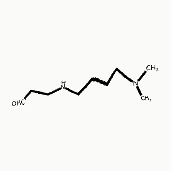 CN(C)CCCCNCCC=O